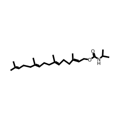 CC(C)=CCC/C(C)=C/CC/C(C)=C/CC/C(C)=C/COC(=O)NC(C)C